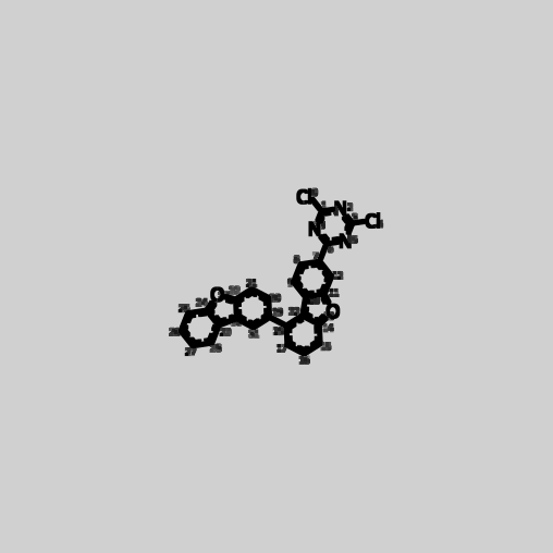 Clc1nc(Cl)nc(-c2ccc3c(c2)oc2cccc(-c4ccc5oc6ccccc6c5c4)c23)n1